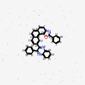 c1ccc(-c2nc3ccc4ccc5ccc(-c6nc7ccccc7nc6-c6ccccc6)cc5c4c3o2)cc1